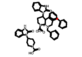 O=C(O)N1CCC(n2c(=O)[nH]c3ccccc32)C(CCCc2ccccc2)[C@@H]1N(Cc1ccccc1)Cc1ccccc1.O=C(O)N1CCC(n2c(=O)[nH]c3ccccc32)CC1